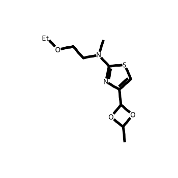 CCOCCN(C)c1nc(C2OC(C)O2)cs1